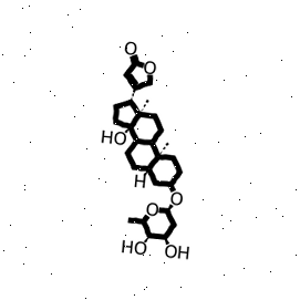 CC1O[C@@H](OC2CC[C@]3(C)C4CC[C@]5(C)[C@@H](C6=CC(=O)OC6)CC[C@]5(O)C4CC[C@@H]3C2)C[C@@H](O)[C@@H]1O